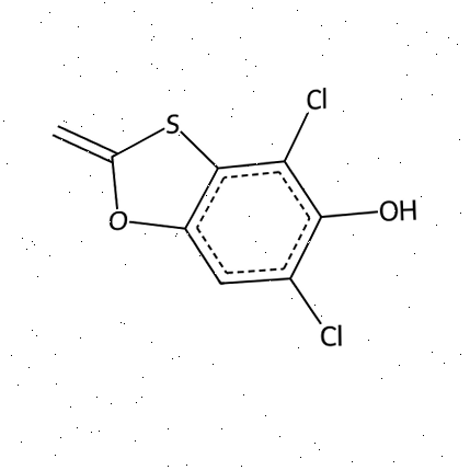 C=C1Oc2cc(Cl)c(O)c(Cl)c2S1